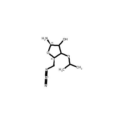 CC(C)OC1C(O)[C@H](N)O[C@@H]1CN=[N+]=[N-]